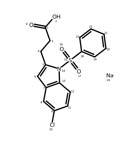 O=C(O)CCc1cc2cc(Cl)ccc2n1S(=O)(=O)c1ccccc1.[Na]